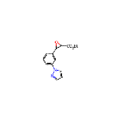 CCOC(=O)C1OC1c1cccc(-n2cccn2)c1